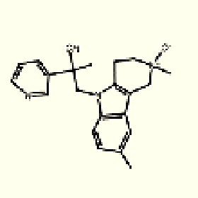 Cc1ccc2c(c1)c1c(n2CC(C)(O)c2cccnc2)CC[N+](C)([O-])C1